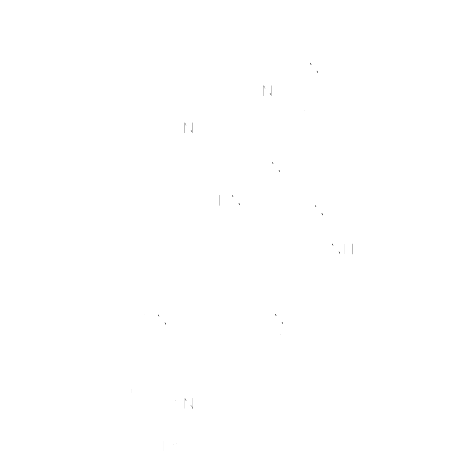 Cc1cn(-c2cncc3[nH]c(-c4n[nH]c5cnc(-c6cncc(NC(=O)C(C)C)c6)cc45)nc23)cn1